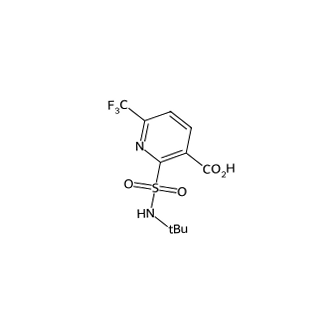 CC(C)(C)NS(=O)(=O)c1nc(C(F)(F)F)ccc1C(=O)O